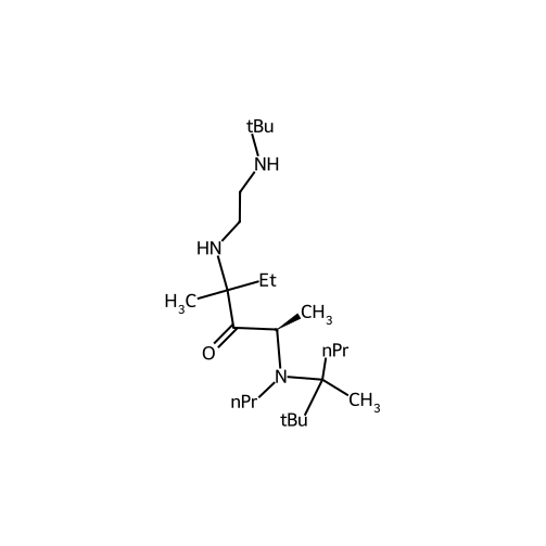 CCCN([C@H](C)C(=O)C(C)(CC)NCCNC(C)(C)C)C(C)(CCC)C(C)(C)C